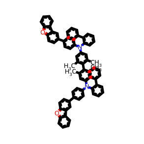 Cc1cc(N(c2ccc(-c3ccc4oc5ccccc5c4c3)cc2)c2ccccc2-c2ccccc2)cc(C)c1-c1c(C)cc(N(c2ccc(-c3ccc4oc5ccccc5c4c3)cc2)c2ccccc2-c2ccccc2)cc1C